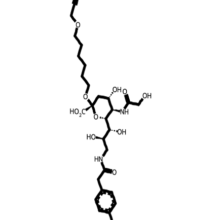 C#CCOCCCCCCO[C@]1(C(=O)O)C[C@H](O)[C@@H](NC(=O)CO)[C@H]([C@H](O)[C@H](O)CNC(=O)Cc2ccc(C(F)(F)F)cc2)O1